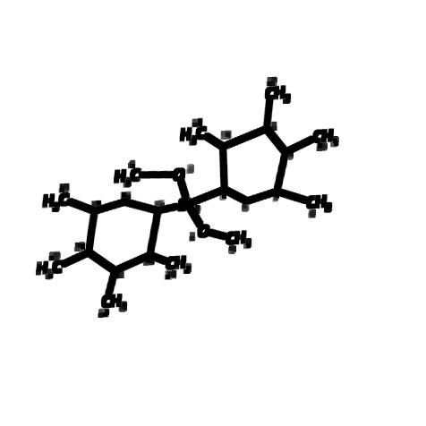 CO[Si](OC)(C1CC(C)C(C)C(C)C1C)C1CC(C)C(C)C(C)C1C